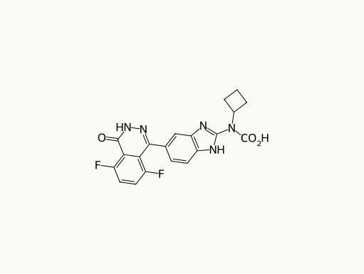 O=C(O)N(c1nc2cc(-c3n[nH]c(=O)c4c(F)ccc(F)c34)ccc2[nH]1)C1CCC1